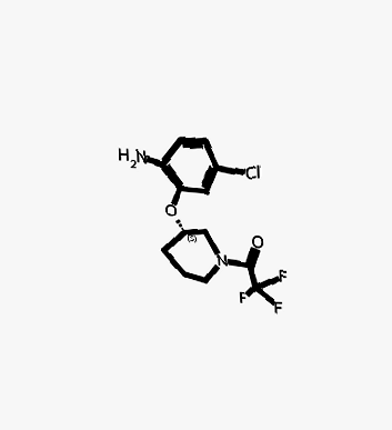 Nc1ccc(Cl)cc1O[C@H]1CCCN(C(=O)C(F)(F)F)C1